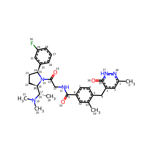 Cc1cc(Cc2ccc(C(=O)NCC(=O)N3[C@@H]([C@H](C)N(C)C)CC[C@H]3c3cccc(F)c3)cc2C)c(=O)[nH]n1